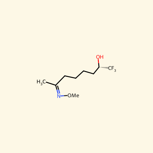 CO/N=C(/C)CCCC[C@H](O)C(F)(F)F